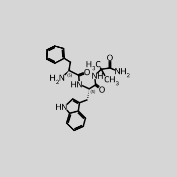 CC(C)(NC(=O)[C@H](Cc1c[nH]c2ccccc12)NC(=O)[C@@H](N)Cc1ccccc1)C(N)=O